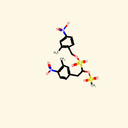 Cc1cc([N+](=O)[O-])ccc1COS(=O)(=O)C(Cc1ccc([N+](=O)[O-])c(C)c1)OS(C)(=O)=O